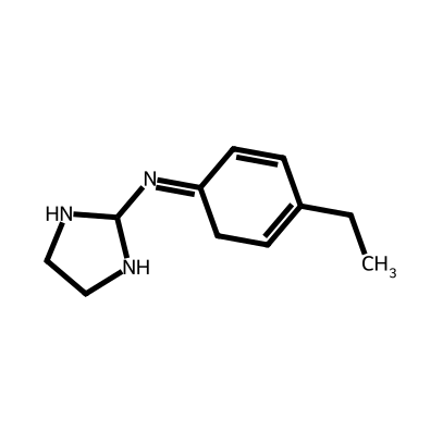 CCC1=CC/C(=N\C2NCCN2)C=C1